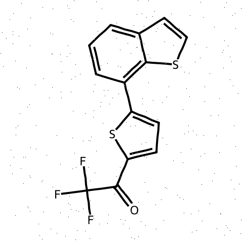 O=C(c1ccc(-c2cccc3ccsc23)s1)C(F)(F)F